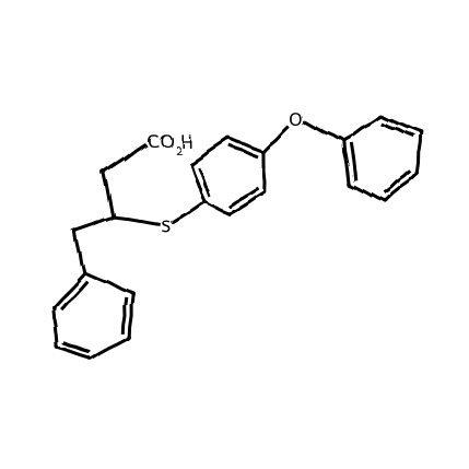 O=C(O)CC(Cc1ccccc1)Sc1ccc(Oc2ccccc2)cc1